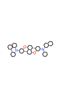 c1ccc(-c2ccccc2N(c2ccccc2)c2ccc3c(c2)Oc2ccc4c5c(ccc-3c25)Oc2cc(N(c3ccccc3)c3ccc5ccccc5c3)ccc2-4)cc1